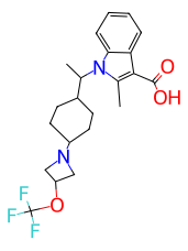 Cc1c(C(=O)O)c2ccccc2n1C(C)C1CCC(N2CC(OC(F)(F)F)C2)CC1